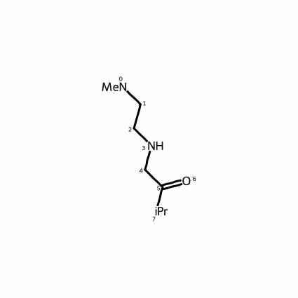 CNCCNCC(=O)C(C)C